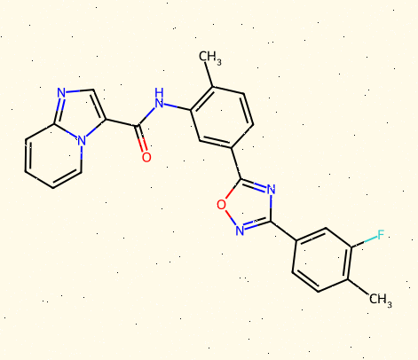 Cc1ccc(-c2noc(-c3ccc(C)c(NC(=O)c4cnc5ccccn45)c3)n2)cc1F